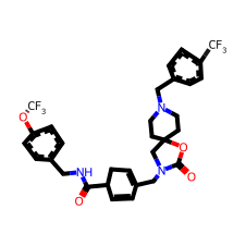 O=C(NCc1ccc(OC(F)(F)F)cc1)C1C=CC(CN2CC3(CCN(Cc4ccc(C(F)(F)F)cc4)CC3)OC2=O)=CC1